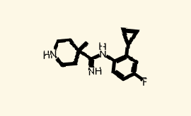 CC1(C(=N)Nc2ccc(F)cc2C2CC2)CCNCC1